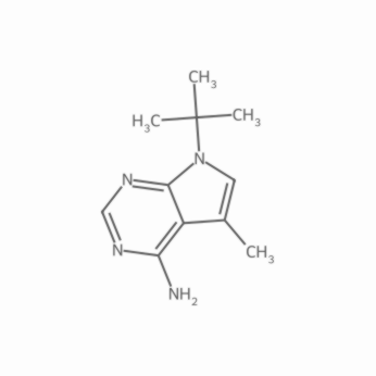 Cc1cn(C(C)(C)C)c2ncnc(N)c12